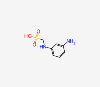 Nc1cccc(NCS(=O)(=O)O)c1